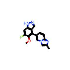 COc1c(F)cc2[nH]ncc2c1-c1ccc2nc(C)cn2c1